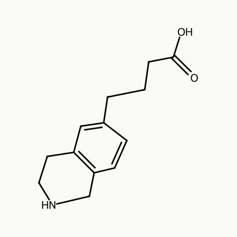 O=C(O)CCCc1ccc2c(c1)CCNC2